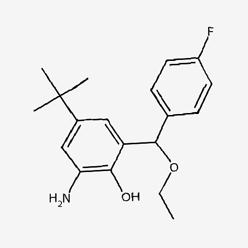 CCOC(c1ccc(F)cc1)c1cc(C(C)(C)C)cc(N)c1O